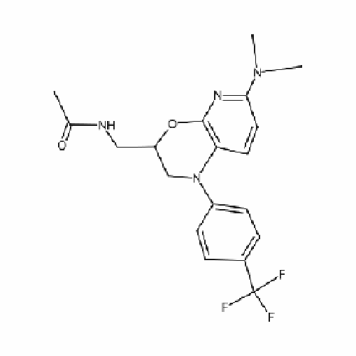 CC(=O)NCC1CN(c2ccc(C(F)(F)F)cc2)c2ccc(N(C)C)nc2O1